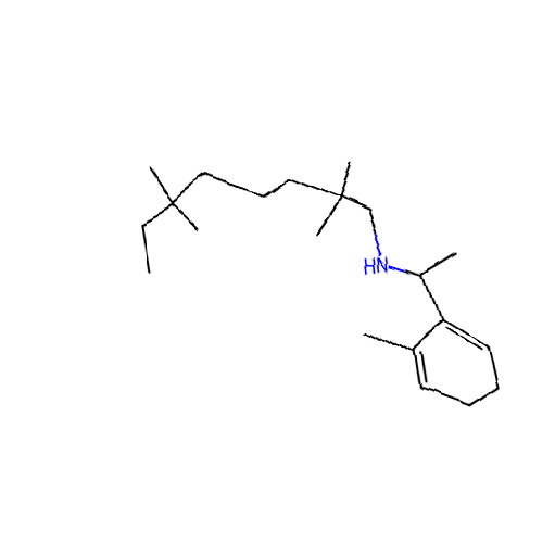 CCC(C)(C)CCCC(C)(C)CNC(C)C1=CCCC=C1C